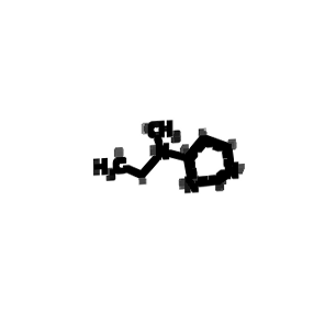 CCN(C)c1ccn[c]n1